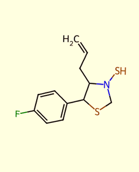 C=CCC1C(c2ccc(F)cc2)SCN1S